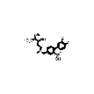 CCCCC(C(=O)O)C(N)CCN(C)Cc1ccc(-c2ccc(Cl)c(Cl)c2)c(B(O)O)c1